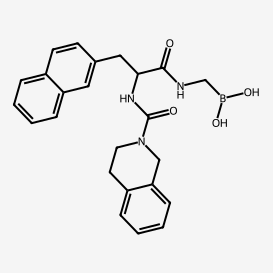 O=C(NCB(O)O)C(Cc1ccc2ccccc2c1)NC(=O)N1CCc2ccccc2C1